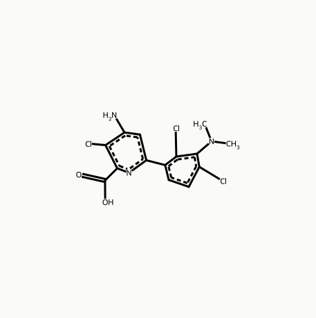 CN(C)c1c(Cl)ccc(-c2cc(N)c(Cl)c(C(=O)O)n2)c1Cl